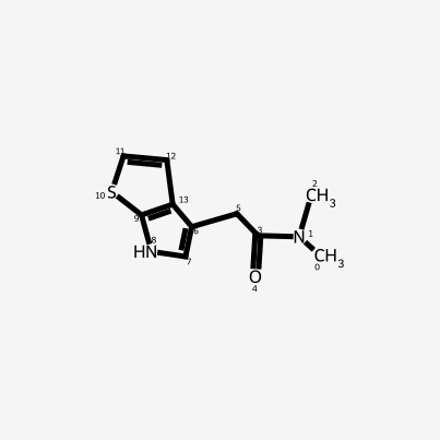 CN(C)C(=O)Cc1c[nH]c2sccc12